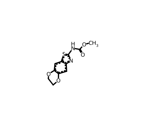 COC(=O)Nc1nc2cc3c(cc2s1)OCCO3